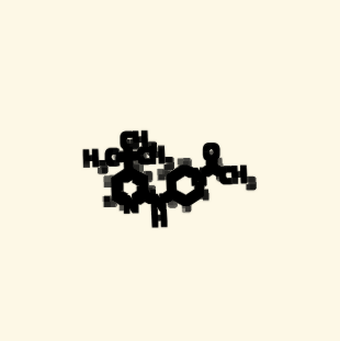 CC(=O)N1CCC(Nc2cc(C(C)(C)C)ccn2)CC1